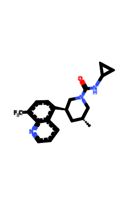 C[C@@H]1C[C@@H](c2ccc(C(F)(F)F)c3ncccc23)CN(C(=O)NC2CC2)C1